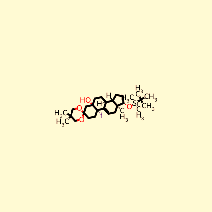 CC1(C)COC2(CC[C@]3(I)C4=CC[C@]5(C)[C@@H](O[Si](C)(C)C(C)(C)C)CC[C@H]5[C@@H]4CC[C@@]3(O)C2)OC1